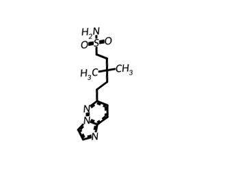 CC(C)(CCc1ccc2nccn2n1)CCS(N)(=O)=O